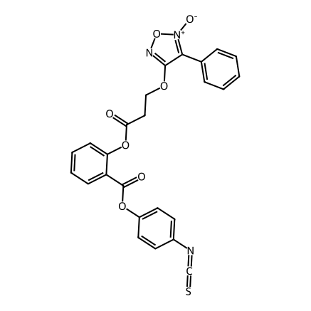 O=C(CCOc1no[n+]([O-])c1-c1ccccc1)Oc1ccccc1C(=O)Oc1ccc(N=C=S)cc1